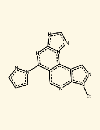 CCn1ncc2c1ncc1c(-n3cccn3)nc3ncnn3c12